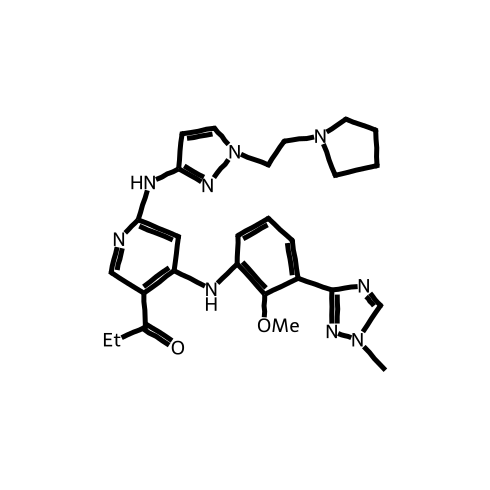 CCC(=O)c1cnc(Nc2ccn(CCN3CCCC3)n2)cc1Nc1cccc(-c2ncn(C)n2)c1OC